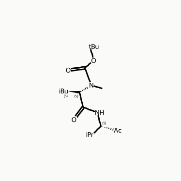 CC[C@H](C)[C@@H](C(=O)N[C@H](C(C)=O)C(C)C)N(C)C(=O)OC(C)(C)C